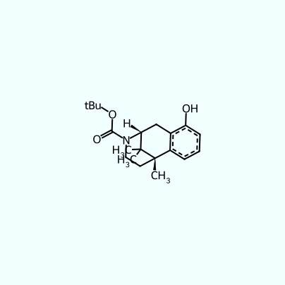 CC(C)(C)OC(=O)N1CC[C@@]2(C)c3cccc(O)c3C[C@@H]1C2(C)C